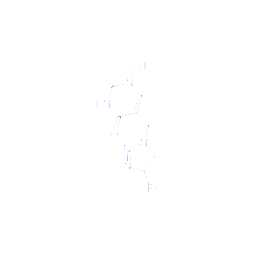 CCc1cn(Cc2cn(C)c(=O)[nH]c2=O)nn1